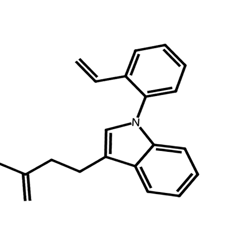 C=Cc1ccccc1-n1cc(CCC(=C)C)c2ccccc21